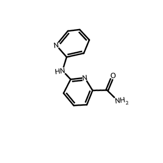 NC(=O)c1cccc(Nc2ccccn2)n1